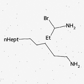 CCC(N)Br.CCCCCCCCCCCCN